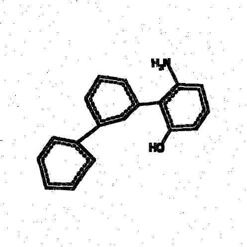 Nc1cccc(O)c1-c1cccc(-c2ccccc2)c1